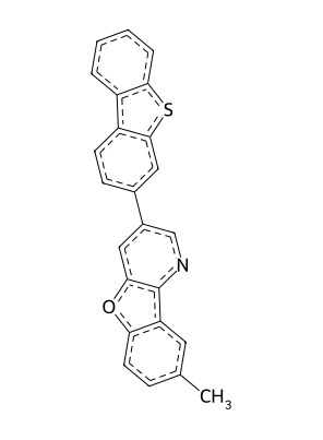 Cc1ccc2oc3cc(-c4ccc5c(c4)sc4ccccc45)cnc3c2c1